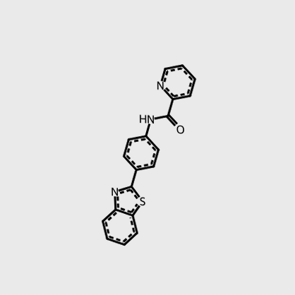 O=C(Nc1ccc(-c2nc3ccccc3s2)cc1)c1ccccn1